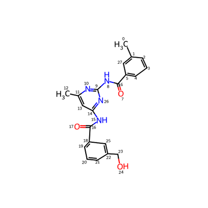 Cc1cccc(C(=O)Nc2nc(C)cc(NC(=O)c3cccc(CO)c3)n2)c1